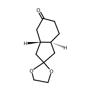 O=C1CC[C@H]2CC3(C[C@@H]2C1)OCCO3